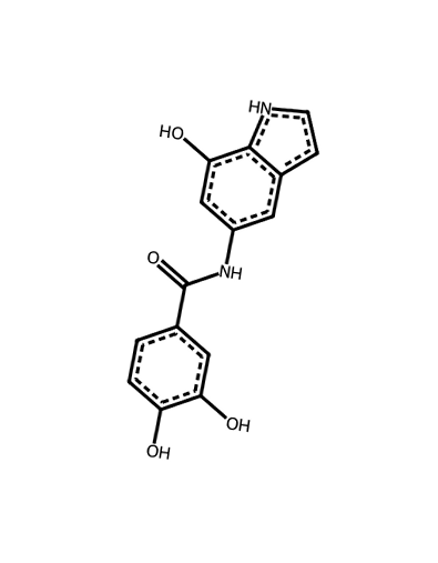 O=C(Nc1cc(O)c2[nH]ccc2c1)c1ccc(O)c(O)c1